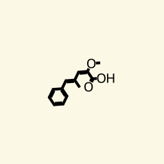 CO/C(=C/C(C)=C/c1ccccc1)C(=O)O